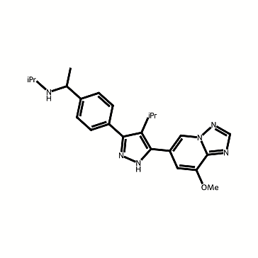 COc1cc(-c2[nH]nc(-c3ccc(C(C)NC(C)C)cc3)c2C(C)C)cn2ncnc12